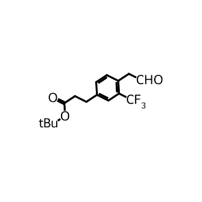 CC(C)(C)OC(=O)CCc1ccc(CC=O)c(C(F)(F)F)c1